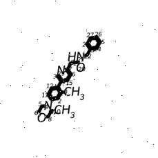 Cc1cc(N2CCOC[C@H]2C)ccc1-c1ccc(CC(=O)NCc2ccccc2)nc1